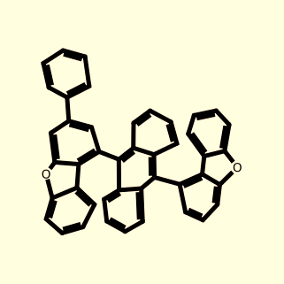 c1ccc(-c2cc(-c3c4ccccc4c(-c4cccc5oc6ccccc6c45)c4ccccc34)c3c(c2)oc2ccccc23)cc1